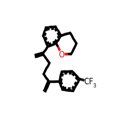 C=C(CCC(=C)c1cccc2c1OCCC2)c1ccc(C(F)(F)F)cc1